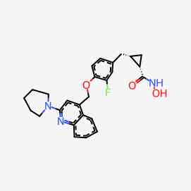 O=C(NO)[C@H]1C[C@H]1Cc1ccc(OCc2cc(N3CCCCC3)nc3ccccc23)c(F)c1